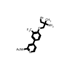 CC(=O)Nc1cc(-c2ccc(OCC(C)(N)CC(C)C)c(C(F)(F)F)c2)ccn1